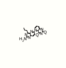 CCCc1nc(N)nc2ccc(N3C=CC=C4N=C(OC)N=C(OC)C43)nc12